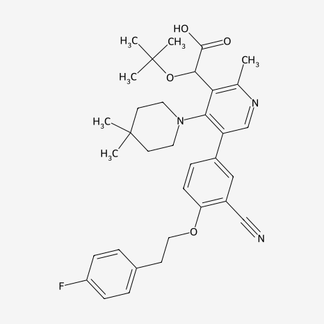 Cc1ncc(-c2ccc(OCCc3ccc(F)cc3)c(C#N)c2)c(N2CCC(C)(C)CC2)c1C(OC(C)(C)C)C(=O)O